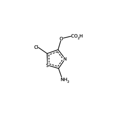 Nc1nc(OC(=O)O)c(Cl)s1